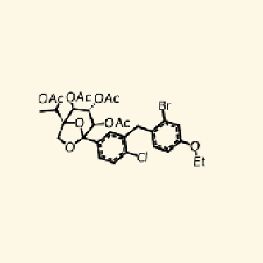 CCOc1ccc(Cc2cc(C34OC[C@@](C(C)OC(C)=O)(O3)[C@@H](OC(C)=O)[C@H](OC(C)=O)[C@H]4OC(C)=O)ccc2Cl)c(Br)c1